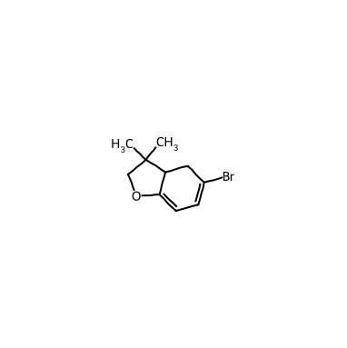 CC1(C)COC2=CC=C(Br)CC21